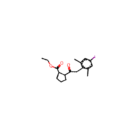 CCOC(=O)C1CCCC1C(=O)Cc1c(C)cc(I)cc1C